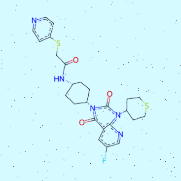 O=C(CSc1ccncc1)N[C@H]1CC[C@@H](n2c(=O)c3cc(F)cnc3n(C3CCSCC3)c2=O)CC1